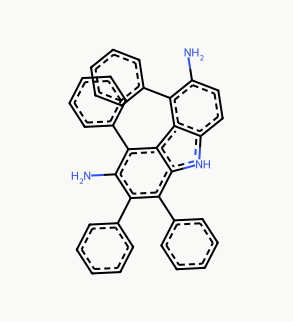 Nc1ccc2[nH]c3c(-c4ccccc4)c(-c4ccccc4)c(N)c(-c4ccccc4)c3c2c1-c1ccccc1